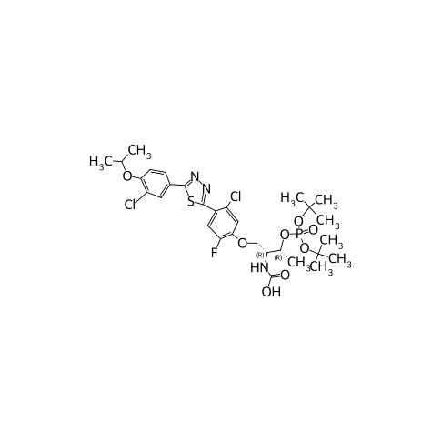 CC(C)Oc1ccc(-c2nnc(-c3cc(F)c(OC[C@@H](NC(=O)O)[C@@H](C)OP(=O)(OC(C)(C)C)OC(C)(C)C)cc3Cl)s2)cc1Cl